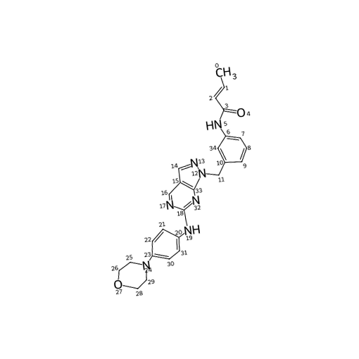 CC=CC(=O)Nc1cccc(Cn2ncc3cnc(Nc4ccc(N5CCOCC5)cc4)nc32)c1